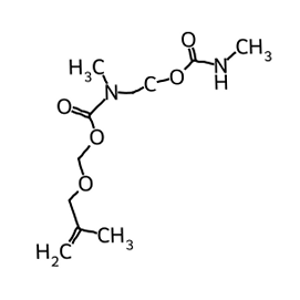 C=C(C)COCOC(=O)N(C)CCOC(=O)NC